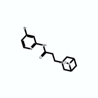 O=C(CCN1CC2CC(C1)N2C(=O)O)Nc1cc(Br)ccn1